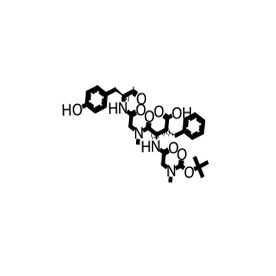 CN(CC(=O)N[C@H](C(=O)N(C)CC(=O)N[C@H]([C]=O)Cc1ccc(O)cc1)[C@@H](Cc1ccccc1)C(=O)O)C(=O)OC(C)(C)C